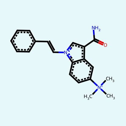 C[N+](C)(C)c1ccc2c(c1)c(C(N)=O)cn2C=Cc1ccccc1